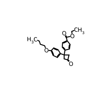 CCCCOc1ccc(C2(c3ccc(C(=O)OCC)cc3)CC(=O)C2)cc1